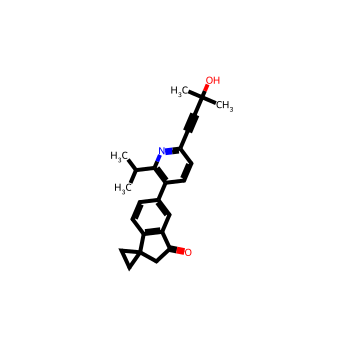 CC(C)c1nc(C#CC(C)(C)O)ccc1-c1ccc2c(c1)C(=O)CC21CC1